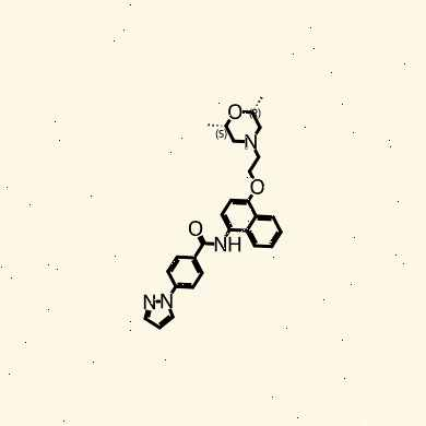 C[C@@H]1CN(CCOc2ccc(NC(=O)c3ccc(-n4cccn4)cc3)c3ccccc23)C[C@H](C)O1